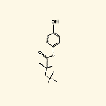 CC(C)(C)CC(C)(C)C(=O)Oc1ccc(O)cc1